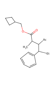 CCC(c1ccccc1)C(C(C)=O)C(C)C(=O)OCC1CCC1